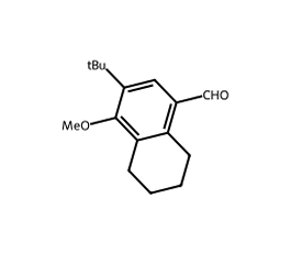 COc1c(C(C)(C)C)cc(C=O)c2c1CCCC2